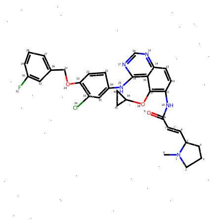 CN1CCCC1/C=C/C(=O)Nc1ccc2ncnc(Nc3ccc(OCc4cccc(F)c4)c(Cl)c3)c2c1OC1CC1